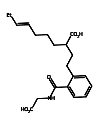 CCC=CCCCC(CCc1ccccc1C(=O)NCC(=O)O)C(=O)O